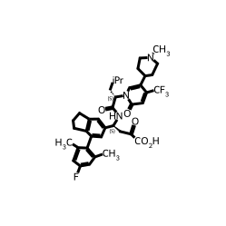 Cc1cc(F)cc(C)c1-c1cc([C@H](CC(=O)C(=O)O)NC(=O)[C@H](CC(C)C)n2cc(C3CCN(C)CC3)c(C(F)(F)F)cc2=O)cc2c1CCC2